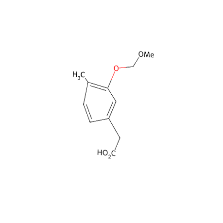 COCOc1cc(CC(=O)O)ccc1C